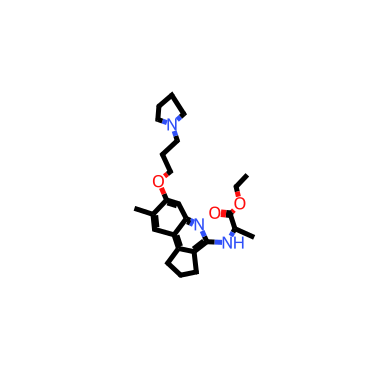 CCOC(=O)C(C)Nc1nc2cc(OCCCN3CCCC3)c(C)cc2c2c1CCC2